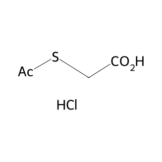 CC(=O)SCC(=O)O.Cl